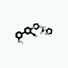 N#Cc1cc(-c2cccc(N)c2)ccc1N1CC[C@H](NC(=O)[C@@H]2CCCN2)C1